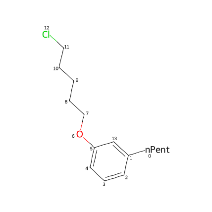 [CH2]CCCCc1cccc(OCCCCCCl)c1